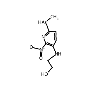 C[AsH]c1ccc(NCCO)c([N+](=O)[O-])n1